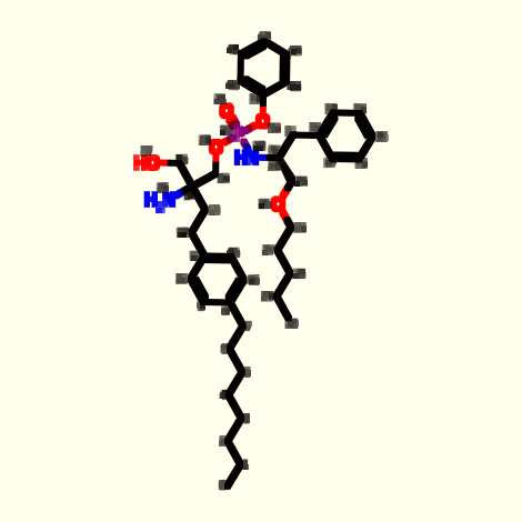 CCCCCCCCc1ccc(CCC(N)(CO)COP(=O)(N[C@H](COCCCCC)Cc2ccccc2)Oc2ccccc2)cc1